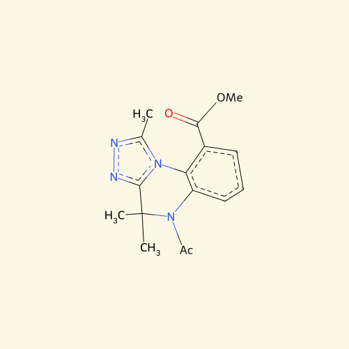 COC(=O)c1cccc2c1-n1c(C)nnc1C(C)(C)N2C(C)=O